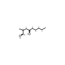 CCCCCC(=O)CC(C)C=O